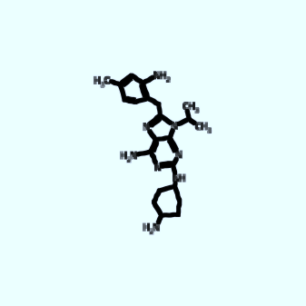 Cc1ccc(Cc2nc3c(N)nc(NC4CCC(N)CC4)nc3n2C(C)C)c(N)c1